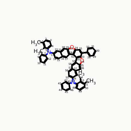 Cc1cccc(N(c2ccccc2)c2ccc3cc4c(cc3c2)oc2cc(-c3ccccc3)c3oc5cc6cc(N(c7ccccc7)c7cccc(C)c7C)ccc6cc5c3c24)c1C